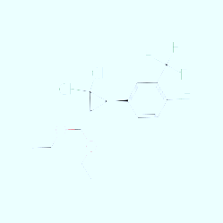 CCOC(OCC)[C@H]1[C@H](c2ccc(F)c(C(F)(F)F)c2)C1(Cl)Cl